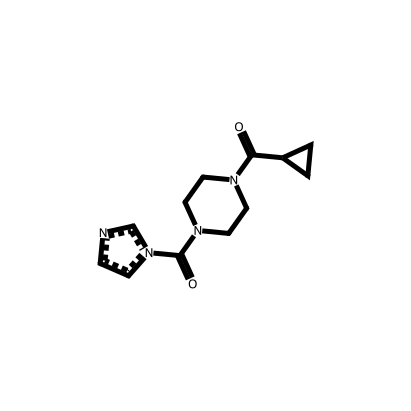 O=C(C1CC1)N1CCN(C(=O)n2ccnc2)CC1